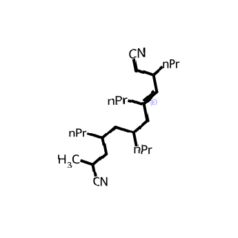 CCC/C(=C\C(CC#N)CCC)CC(CCC)CC(CCC)CC(C)C#N